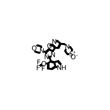 [O-][S+]1CCN(Cc2cnc3oc4c(N5CCOCC5)nc(-c5c(OC(F)(F)F)ccc6[nH]ccc56)nc4c3c2)CC1